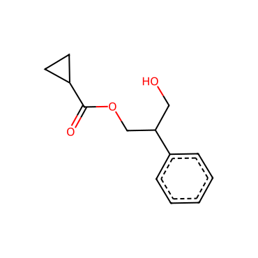 O=C(OCC(CO)c1ccccc1)C1CC1